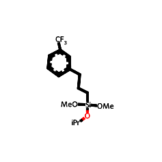 CO[Si](CCCc1cccc(C(F)(F)F)c1)(OC)OC(C)C